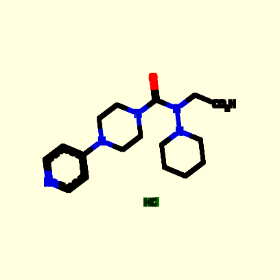 Cl.O=C(O)CN(C(=O)N1CCN(c2ccncc2)CC1)N1CCCCC1